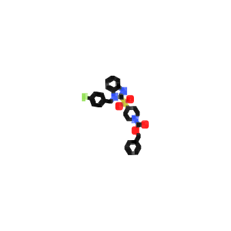 O=C(OCc1ccccc1)N1CCC(S(=O)(=O)c2nc3ccccc3n2Cc2ccc(F)cc2)CC1